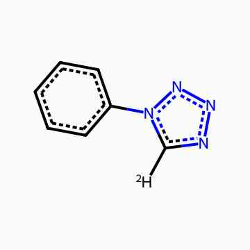 [2H]c1nnnn1-c1ccccc1